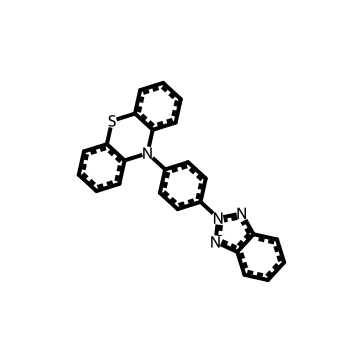 c1ccc2c(c1)Sc1ccccc1N2c1ccc(-n2nc3ccccc3n2)cc1